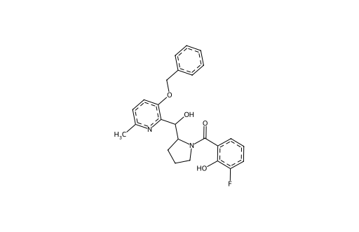 Cc1ccc(OCc2ccccc2)c(C(O)C2CCCN2C(=O)c2cccc(F)c2O)n1